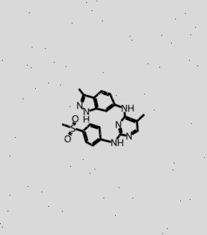 Cc1cnc(Nc2ccc(S(C)(=O)=O)cc2)nc1Nc1ccc2c(C)n[nH]c2c1